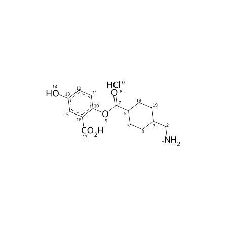 Cl.NCC1CCC(C(=O)Oc2ccc(O)cc2C(=O)O)CC1